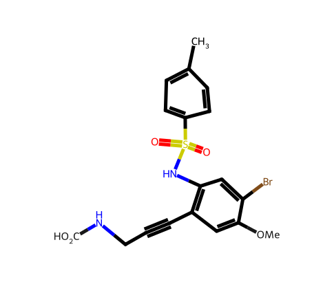 COc1cc(C#CCNC(=O)O)c(NS(=O)(=O)c2ccc(C)cc2)cc1Br